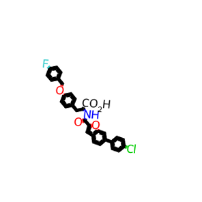 O=C(NC(Cc1ccc(OCc2ccc(F)cc2)cc1)C(=O)O)c1cc2ccc(-c3ccc(Cl)cc3)cc2o1